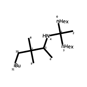 CCCCCCC(C)(CCCCCC)NC(C)C(C)(C)CC(C)CC